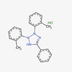 Cc1ccccc1N1N=C(c2ccccc2)NN1c1ccccc1C.Cl